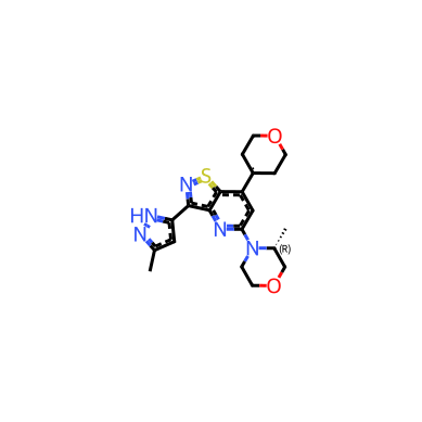 Cc1cc(-c2nsc3c([C]4CCOCC4)cc(N4CCOC[C@H]4C)nc23)[nH]n1